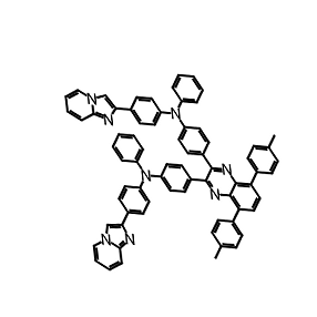 Cc1ccc(-c2ccc(-c3ccc(C)cc3)c3nc(-c4ccc(N(c5ccccc5)c5ccc(-c6cn7ccccc7n6)cc5)cc4)c(-c4ccc(N(c5ccccc5)c5ccc(-c6cn7ccccc7n6)cc5)cc4)nc23)cc1